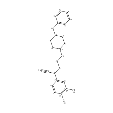 N#CC(CCCN1CCC(Cc2ccccc2)CC1)c1ccc(Cl)c(Cl)c1